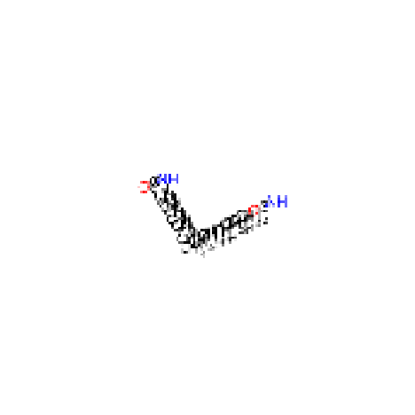 C.C.C.C.C.C.C.C.C.C.C.C.C.C.C.C.C.C.C.C.N=C=O.N=C=O